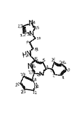 c1ccc(-c2cc(NCCCn3ccnc3)nc(-c3ccccn3)n2)cc1